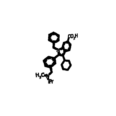 CC(C)N(C)Cc1cccc(-c2c(C3CCCCC3)c3ccc(C(=O)O)cc3n2Cc2ccccc2)c1